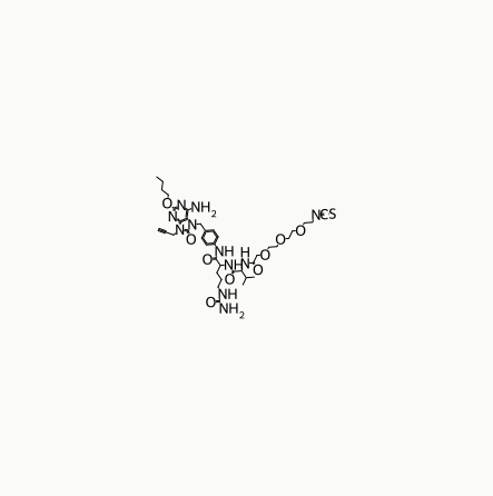 C#CCn1c(=O)n(Cc2ccc(NC(=O)C(CCCNC(N)=O)NC(=O)C(NC(=O)COCCOCCOCCN=C=S)C(C)C)cc2)c2c(N)nc(OCCCC)nc21